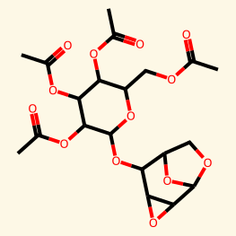 CC(=O)OCC1OC(OC2C3COC(O3)C3OC23)C(OC(C)=O)C(OC(C)=O)C1OC(C)=O